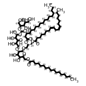 CCCCCC/C=C\C/C=C\CCCCCCC(=O)OC[C@H](CO[C@H]1OC(COC(=O)CCCCCCCCCCCCCCCC)[C@@H](O)C(O)C1OCC(O)C(O)[C@@H](O)C(O)OC(C)OC(CO)[C@H](O)C(O)CO)OC(=O)CCCCCCCCCCCCCCCCC